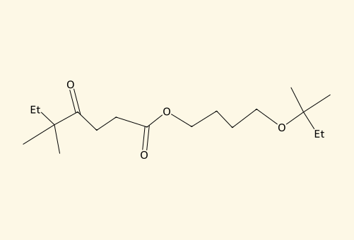 CCC(C)(C)OCCCCOC(=O)CCC(=O)C(C)(C)CC